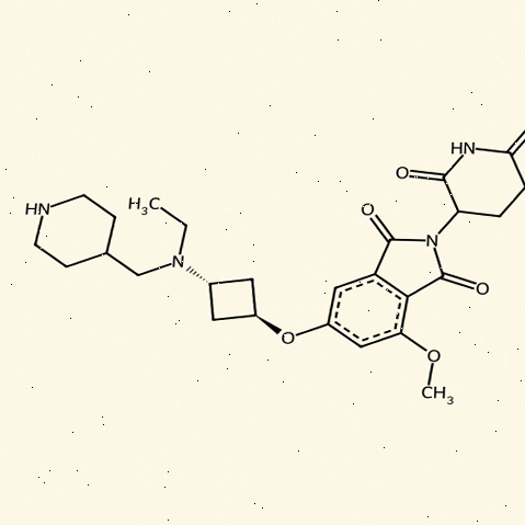 CCN(CC1CCNCC1)[C@H]1C[C@H](Oc2cc(OC)c3c(c2)C(=O)N(C2CCC(=O)NC2=O)C3=O)C1